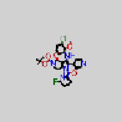 COc1c(Cl)cccc1Nc1c(-c2ccncc2OCc2cccc(F)n2)[nH]c2c1C(=O)N(C(=O)OC(C)(C)C)CC2